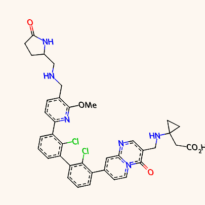 COc1nc(-c2cccc(-c3cccc(-c4ccn5c(=O)c(CNC6(CC(=O)O)CC6)cnc5c4)c3Cl)c2Cl)ccc1CNCC1CCC(=O)N1